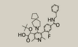 Cc1nc(C)c(C(OC(C)(C)C)C(=O)O)c(N2CCC3(CCCC3)CC2)c1-c1ccc(C(=O)NCc2ccccc2)cc1F